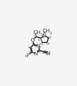 C[C@H](Oc1cc(F)nc(C#N)n1)[C@@H]1CCCN1C